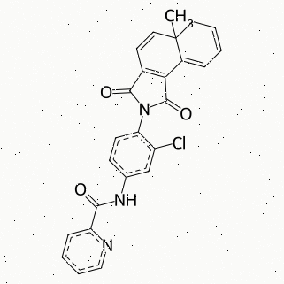 CC12C=CC3=C(C(=O)N(c4ccc(NC(=O)c5ccccn5)cc4Cl)C3=O)C1=CC=CC2